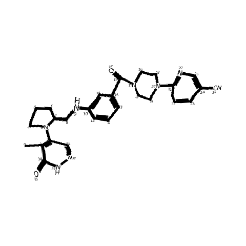 Cc1c(N2CCCC2CNc2cccc(C(=O)N3CCN(c4ccc(C#N)cn4)CC3)c2)cn[nH]c1=O